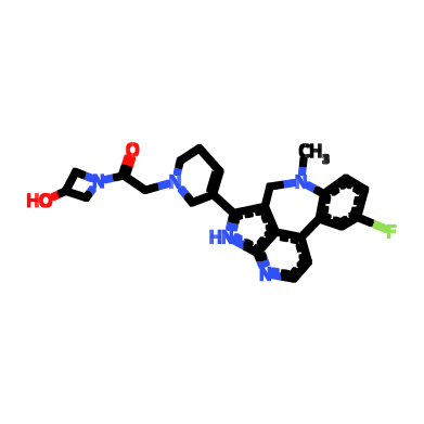 CN1Cc2c(C3=CCCN(CC(=O)N4CC(O)C4)C3)[nH]c3nccc(c23)-c2cc(F)ccc21